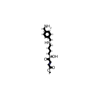 COC(=O)/C=C/C(=O)N(O)CCCCNCc1ccc(CN)cc1